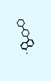 COc1cccc2c([C]3CCC(C4CCCCC4)CC3)cccc12